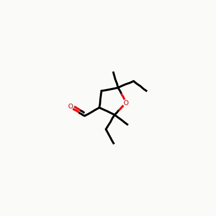 CCC1(C)CC(C=O)C(C)(CC)O1